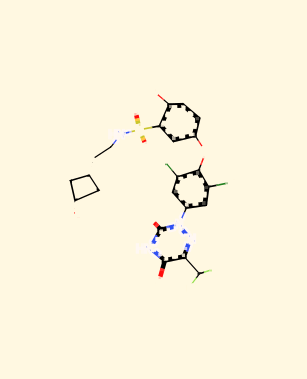 O=c1[nH]c(=O)n(-c2cc(Cl)c(Oc3ccc(O)c(S(=O)(=O)NCC[C@H]4C[C@@H](O)C4)c3)c(Cl)c2)nc1C(F)F